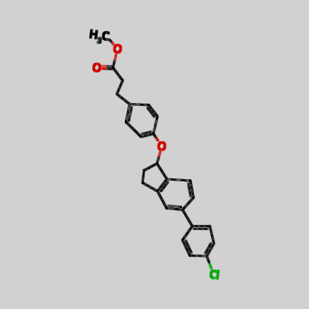 COC(=O)CCc1ccc(OC2CCc3cc(-c4ccc(Cl)cc4)ccc32)cc1